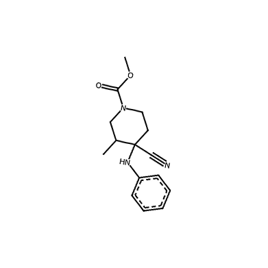 COC(=O)N1CCC(C#N)(Nc2ccccc2)C(C)C1